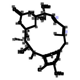 COc1cc2cc(c1Cl)N(C)[C@@H](O)[C@H](C)[C@@H]1C[C@@](O)(NC(=O)O1)[C@H](OC)/C=C/C=C(\C)C2